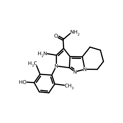 Cc1ccc(O)c(C)c1-n1c(N)c(C(N)=O)c2c3n(nc21)CCCC3